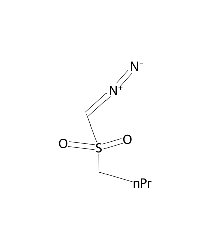 CCCCS(=O)(=O)C=[N+]=[N-]